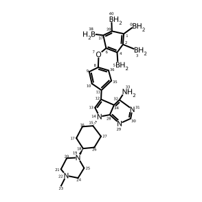 Bc1c(B)c(B)c(Oc2ccc(-c3cn([C@H]4CC[C@H](N5CCN(C)CC5)CC4)c4ncnc(N)c34)cc2)c(B)c1B